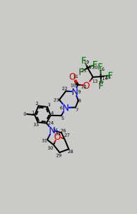 Cc1ccc(CN2CCN(C(=O)OC(C(F)(F)F)C(F)(F)F)CC2)c(N2CC3CCC(C2)O3)c1